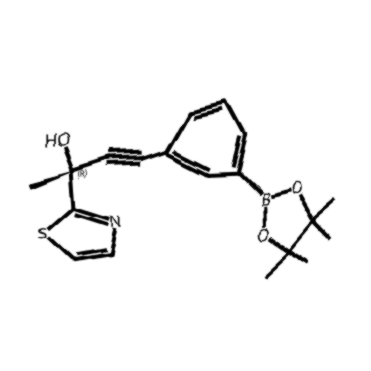 CC1(C)OB(c2cccc(C#C[C@@](C)(O)c3nccs3)c2)OC1(C)C